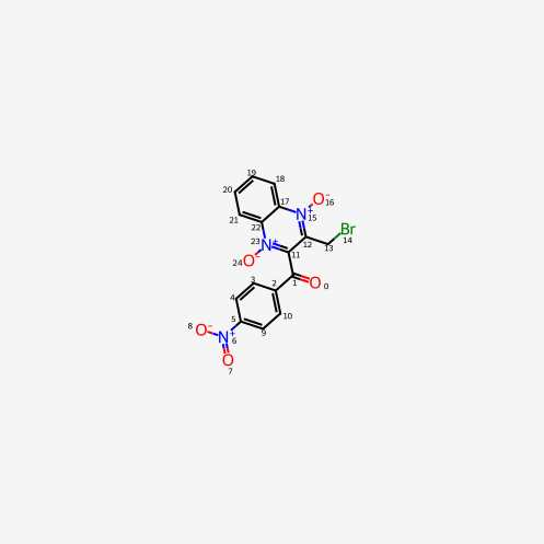 O=C(c1ccc([N+](=O)[O-])cc1)c1c(CBr)[n+]([O-])c2ccccc2[n+]1[O-]